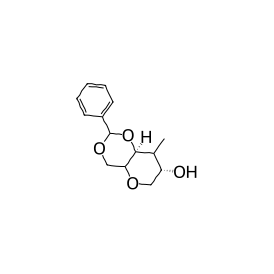 CC1[C@@H]2OC(c3ccccc3)OCC2OC[C@H]1O